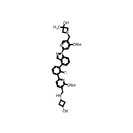 COc1cc(-n2ncc3c(-c4cccc(-c5ccc(CN[C@H]6C[C@@H](O)C6)c(OC)n5)c4Cl)cccc32)ncc1CN1CC(C)(O)C1